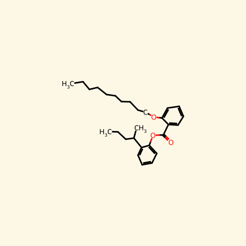 CCCCCCCCCCOc1ccccc1C(=O)Oc1ccccc1C(C)CCC